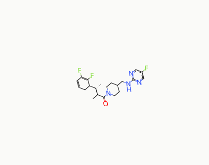 CC(C(=O)N1CCC(CNc2ncc(F)cn2)CC1)[C@@H](C)C1CC=CC(F)=C1F